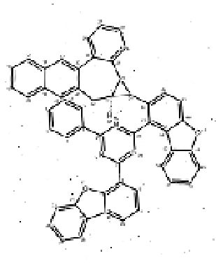 c1ccc(-c2nc(-c3cccc4c3oc3ccccc34)nc(-c3c(C4C5c6ccccc6-c6cc7ccccc7cc6C[C@@H]54)ccc4oc5ccccc5c34)n2)cc1